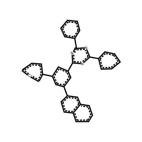 c1ccc(-c2cc(-c3ccc4ccccc4c3)cc(-c3nc(-c4ccccc4)nc(-c4ccccc4)n3)c2)cc1